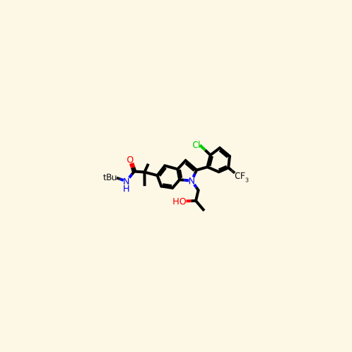 CC(O)Cn1c(-c2cc(C(F)(F)F)ccc2Cl)cc2cc(C(C)(C)C(=O)NC(C)(C)C)ccc21